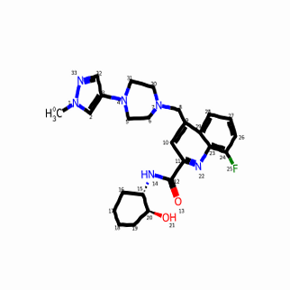 Cn1cc(N2CCN(Cc3cc(C(=O)N[C@H]4CCCC[C@@H]4O)nc4c(F)cccc34)CC2)cn1